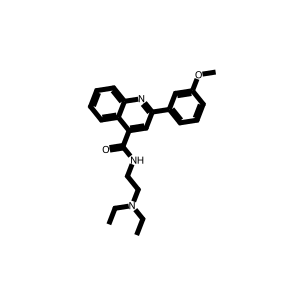 CCN(CC)CCNC(=O)c1cc(-c2cccc(OC)c2)nc2ccccc12